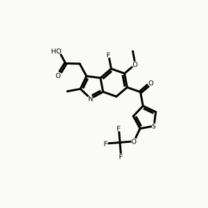 COC1=C(C(=O)c2csc(OC(F)(F)F)c2)CC2=NC(C)=C(CC(=O)O)C2=C1F